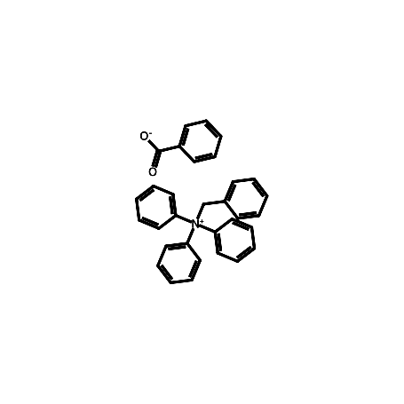 O=C([O-])c1ccccc1.c1ccc(C[N+](c2ccccc2)(c2ccccc2)c2ccccc2)cc1